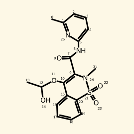 Cc1cccc(NC(=O)C2=C(OC(C)O)c3ccccc3S(=O)(=O)N2C)n1